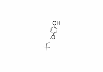 CC(C)(C)CCCOc1ccc(O)cc1